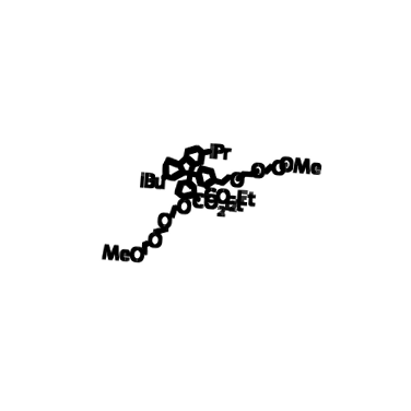 CCOC(=O)c1cc(C2(c3ccc(OCCOCCOCCOC)c(C(=O)OCC)c3)c3cc(C(C)C)ccc3-c3ccc(C(C)CC)cc32)ccc1CCOCCOCCOOC